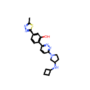 Cc1nnc(-c2ccc(-c3ccc(N4CCC(NC5CCC5)C4)nn3)c(O)c2)s1